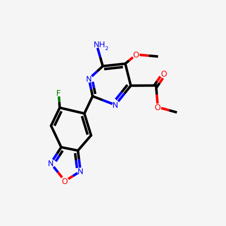 COC(=O)c1nc(-c2cc3nonc3cc2F)nc(N)c1OC